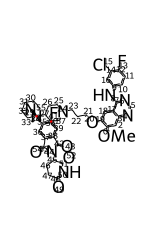 COc1cc2ncnc(Nc3ccc(F)c(Cl)c3)c2cc1OCCCN1CCC(CN2C3CC2CN(c2cc4c(cc2F)C(=O)N(C2CCC(=O)NC2=O)C4=O)C3)CC1